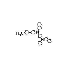 Cc1ccc(-c2ccc(N(C3=CC=C4C=CC=CC4C3)c3ccc(N(c4ccccc4)c4ccc5ccccc5c4)cc3)cc2)cc1